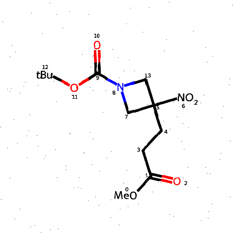 COC(=O)CCC1([N+](=O)[O-])CN(C(=O)OC(C)(C)C)C1